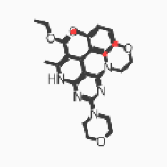 CCOC(=O)C1=C(C)Nc2nc(N3CCOCC3)nc(N3CCOCC3)c2C1c1ccccc1C